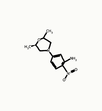 CC1CN(c2ccc([N+](=O)[O-])c(N)c2)C[C@@H](C)O1